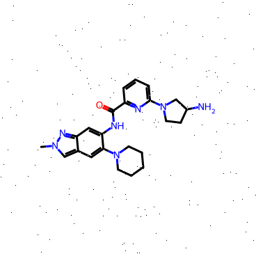 Cn1cc2cc(N3CCCCC3)c(NC(=O)c3cccc(N4CCC(N)C4)n3)cc2n1